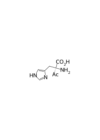 CC(=O)[C@](N)(Cc1c[nH]cn1)C(=O)O